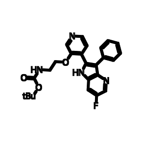 CC(C)(C)OC(=O)NCCOc1cnccc1-c1[nH]c2cc(F)cnc2c1-c1ccccc1